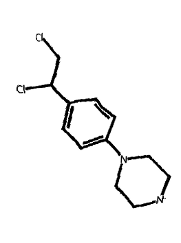 ClCC(Cl)c1ccc(N2CC[N]CC2)cc1